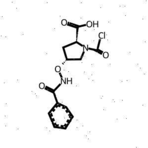 O=C(NO[C@@H]1C[C@@H](C(=O)O)N(C(=O)Cl)C1)c1ccccc1